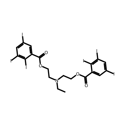 CCN(CCOC(=O)c1cc(I)cc(I)c1I)CCOC(=O)c1cc(I)cc(I)c1I